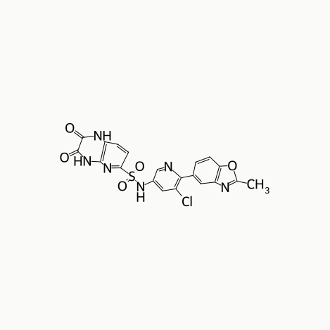 Cc1nc2cc(-c3ncc(NS(=O)(=O)c4ccc5[nH]c(=O)c(=O)[nH]c5n4)cc3Cl)ccc2o1